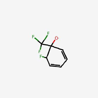 [O]C1(C(F)(F)F)C=CC=CC1F